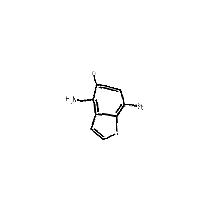 CCc1cc(CC)c2sccc2c1N